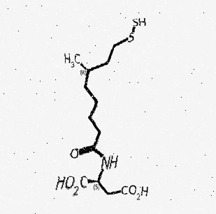 C[C@H](CCCCC(=O)N[C@@H](CC(=O)O)C(=O)O)CCSS